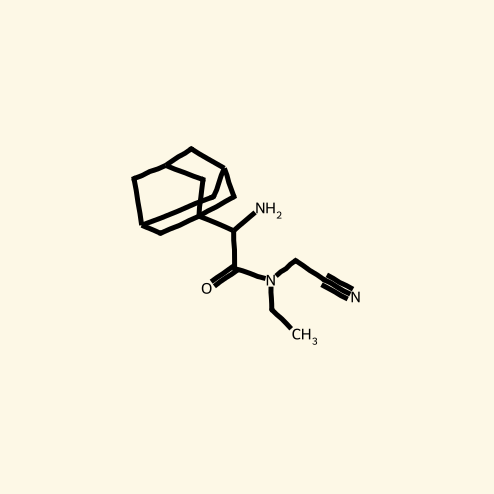 CCN(CC#N)C(=O)C(N)C12CC3CC(CC(C3)C1)C2